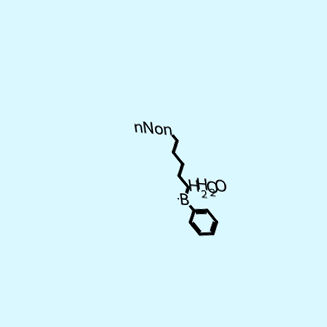 CCCCCCCCCCCCCC[B]c1ccccc1.O.O